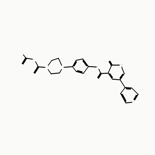 C=C(C)OC(=O)N1CCN(c2ccc(NC(=O)c3cc(-c4ccncc4)c[nH]c3=O)cc2)CC1